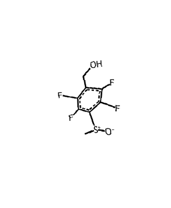 C[S+]([O-])c1c(F)c(F)c(CO)c(F)c1F